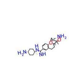 CC(=O)[C@@](C)(ON)[C@H]1CCc2cc(C(=N)N[C@]3(C)CC[C@@H](N)CC3)ccc2O1